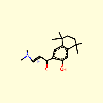 CN(C)/C=C/C(=O)c1cc2c(cc1O)C(C)(C)CCC2(C)C